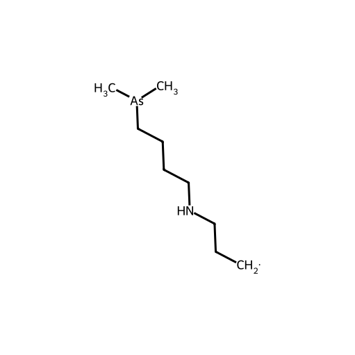 [CH2]CCNCCCC[As](C)C